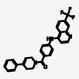 O=C(c1ccc(Nc2ccnc3cc(C(F)(F)F)ccc23)cc1)N1CC=C(c2ccccc2)CC1